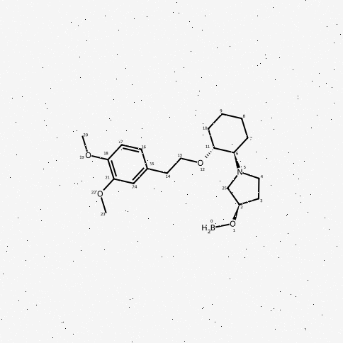 BO[C@@H]1CCN([C@@H]2CCCC[C@H]2OCCc2ccc(OC)c(OC)c2)C1